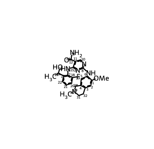 COc1cc2c(cc1Nc1ncc(C(N)=O)c(Nc3c(F)cccc3[C@@H](C)O)n1)CN(C)CC2